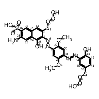 COc1cc(N=Nc2c(SOOO)cc3cc(S(=O)(=O)O)c(N)cc3c2O)c(OC)cc1N=Nc1cc(SOOO)ccc1O